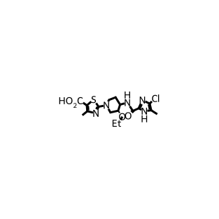 CCO[C@H]1CN(c2nc(C)c(C(=O)O)s2)CCC1NC(=O)c1nc(Cl)c(C)[nH]1